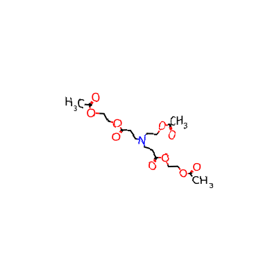 CC(=O)OCCOC(=O)CCN(CCOC(C)=O)CCC(=O)OCCOC(C)=O